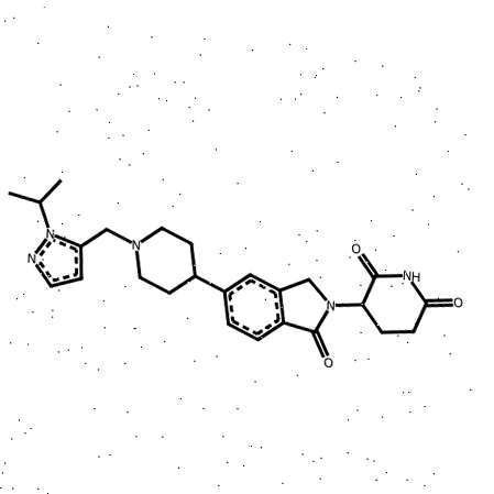 CC(C)n1nccc1CN1CCC(c2ccc3c(c2)CN(C2CCC(=O)NC2=O)C3=O)CC1